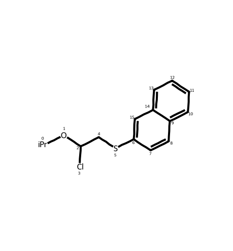 CC(C)OC(Cl)CSc1ccc2ccccc2c1